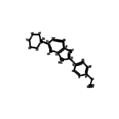 OCc1ccc(-c2nc3ccc(N4CCCCC4)nc3o2)cc1